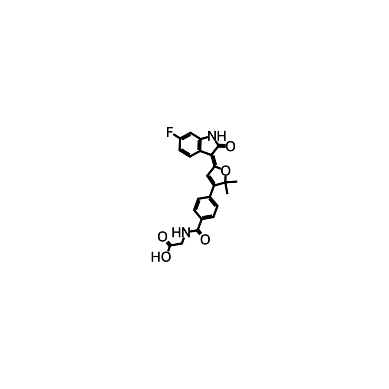 CC1(C)OC(=C2C(=O)Nc3cc(F)ccc32)C=C1c1ccc(C(=O)NCC(=O)O)cc1